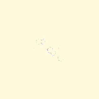 CCCCc1nc2cccc(OC(=O)OC)c2n1Cc1ccn2c(C(=O)OCC)c(-c3ccccc3)nc2n1